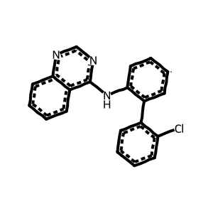 Clc1ccccc1-c1c[c]ccc1Nc1ncnc2ccccc12